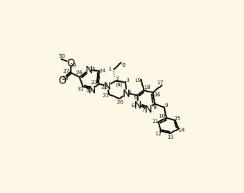 CC[C@@H]1CN(c2nnc(Cc3ccccc3)c(C)c2C)CCN1c1cnc(C(=O)OC)cn1